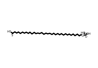 O=P(O)(O)OCCCCCCCCCCCCCCCCCCCCCCCCCCCCCCCCCCCC(=S)S